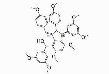 COc1ccc(/C=C2/c3c(C(O)c4cc(OC)cc(OC)c4)c(OC)cc(OC)c3[C@H](c3cc(OC)cc(OC)c3)C2c2ccc(OC)cc2)cc1